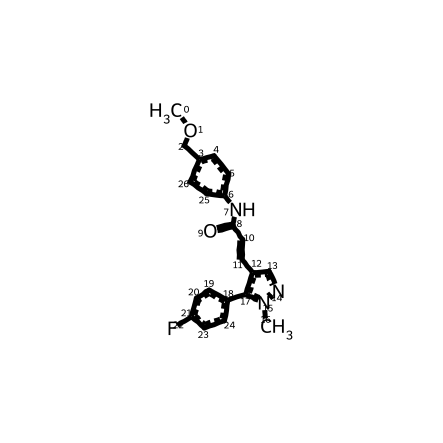 COCc1ccc(NC(=O)C=Cc2cnn(C)c2-c2ccc(F)cc2)cc1